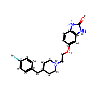 O=c1[nH]c2ccc(OCCN3CCC(Cc4ccc(F)cc4)CC3)cc2[nH]1